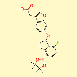 CC1(C)OB(c2ccc(F)c3c2CCC3Oc2ccc3c(CC(=O)O)coc3c2)OC1(C)C